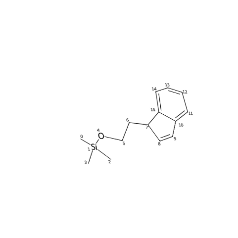 C[Si](C)(C)OCC[C]1C=Cc2ccccc21